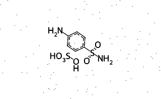 Nc1ccc(S(N)(=O)=O)cc1.O=S(=O)(O)O